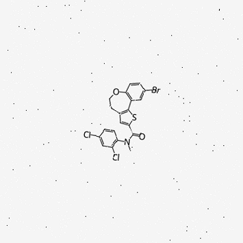 CN(C(=O)c1cc2c(s1)-c1cc(Br)ccc1OCC2)c1ccc(Cl)cc1Cl